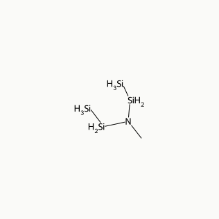 CN([SiH2][SiH3])[SiH2][SiH3]